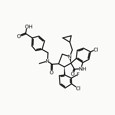 CN(Cc1ccc(C(=O)O)cc1)C(=O)C1CN(CC2CC2)[C@@]2(C(=O)Nc3cc(Cl)ccc32)[C@H]1c1cccc(Cl)c1F